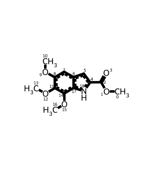 COC(=O)c1cc2cc(OC)c(OC)c(OC)c2[nH]1